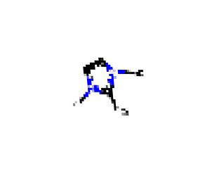 CCCCCCCCCCn1cc[n+](CCC)c1CCCCCCCC